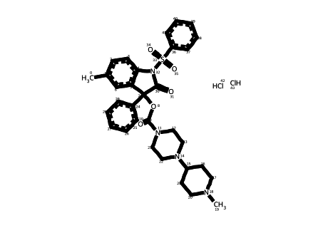 Cc1ccc2c(c1)C(OC(=O)N1CCN(C3CCN(C)CC3)CC1)(c1ccccc1)C(=O)N2S(=O)(=O)c1ccccc1.Cl.Cl